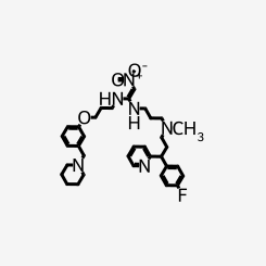 CN(CCCN/C(=C/[N+](=O)[O-])NCCCOc1cccc(CN2CCCCC2)c1)CCC(c1ccc(F)cc1)c1ccccn1